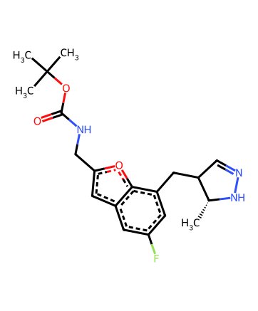 C[C@H]1NN=CC1Cc1cc(F)cc2cc(CNC(=O)OC(C)(C)C)oc12